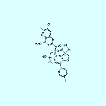 CC[C@@]1(C(N)=O)COc2c1cc(C(O)(CNC(=O)c1cc(OC)c3nc(C)c(Cl)cc3c1)C(F)(F)F)nc2-c1ccc(F)cc1